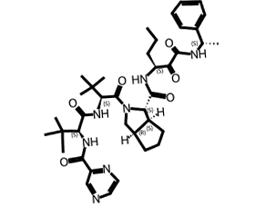 CCC[C@H](NC(=O)[C@@H]1[C@H]2CCC[C@H]2CN1C(=O)[C@@H](NC(=O)[C@@H](NC(=O)c1cnccn1)C(C)(C)C)C(C)(C)C)C(=O)C(=O)N[C@@H](C)c1ccccc1